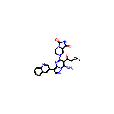 CCC(=O)c1c(N2C=C3C(=O)NC(=O)N3CC2)nc2c(-c3cnc4ccccc4c3)cnn2c1N